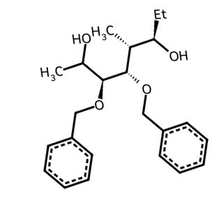 CC[C@@H](O)[C@@H](C)[C@H](OCc1ccccc1)[C@@H](OCc1ccccc1)C(C)O